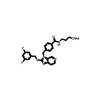 COCCCNC(=O)c1ccc(Cn2c(SCc3cc(F)cc(F)c3)nc3ccncc32)cc1